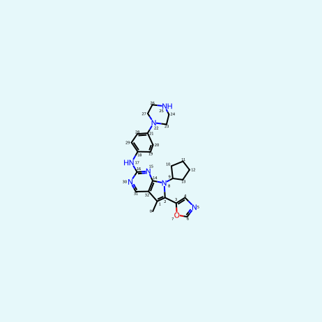 Cc1c(-c2cnco2)n(C2CCCC2)c2nc(Nc3ccc(N4CCNCC4)cc3)ncc12